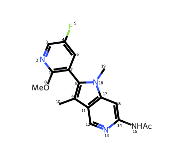 COc1ncc(F)cc1-c1c(C)c2cnc(NC(C)=O)cc2n1C